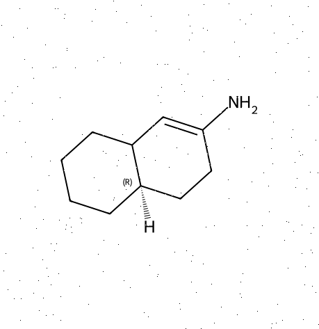 NC1=CC2CCCC[C@@H]2CC1